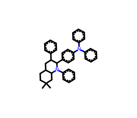 CC1(C)CCC2CC(c3ccccc3)C(c3ccc(N(c4ccccc4)c4ccccc4)cc3)N(c3ccccc3)C2C1